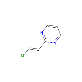 ClC=Cc1ncccn1